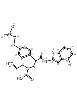 C=CCN(CC(C(=O)Nc1cc2c(F)cncc2s1)c1ccc(CO[N+](=O)[O-])cc1)C(=O)O